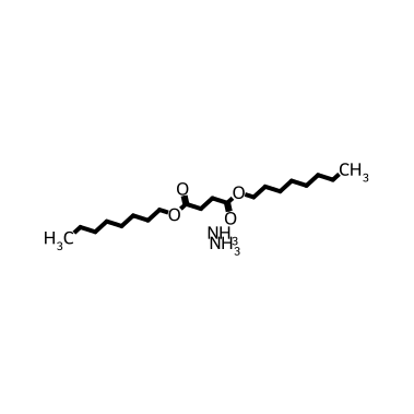 CCCCCCCCOC(=O)CCC(=O)OCCCCCCCC.N.N